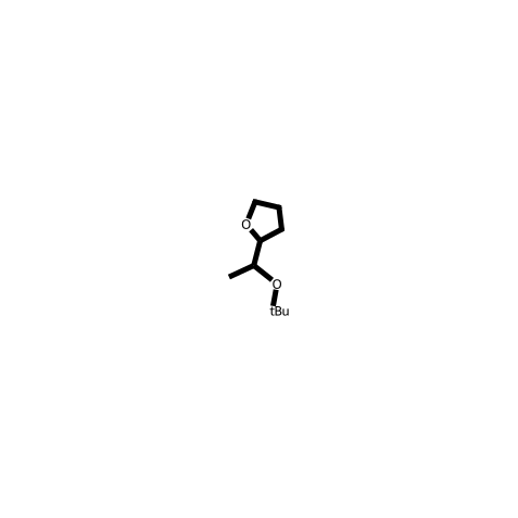 CC(OC(C)(C)C)C1CCCO1